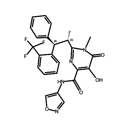 C[C@H](c1nc(C(=O)Nc2cnoc2)c(O)c(=O)n1C)[C@H](c1ccccc1)c1ccccc1C(F)(F)F